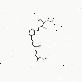 CCCCC[C@H](O)[C@H](O)/C=C/C1=CC(=C\C=C\[C@@H](O)CCCC(=O)OCI)/CCC1